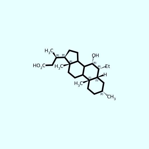 CC[C@H]1[C@@H](O)C2C3CC[C@H]([C@H](C)CC(=O)O)[C@@]3(C)CCC2[C@@]2(C)CC[C@@H](C)C[C@@H]12